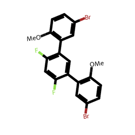 COc1ccc(Br)cc1-c1cc(-c2cc(Br)ccc2OC)c(F)cc1F